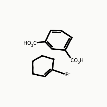 CC(C)C1=CCCCC1.O=C(O)c1cccc(C(=O)O)c1